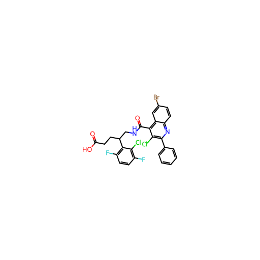 O=C(O)CCC(CNC(=O)c1c(Cl)c(-c2ccccc2)nc2ccc(Br)cc12)c1c(F)ccc(F)c1Cl